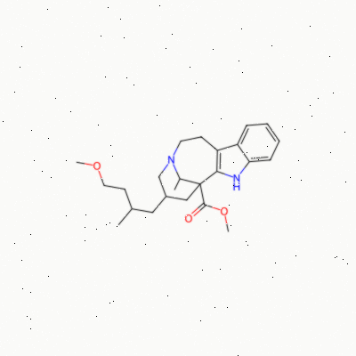 COCCC(C)CC1CN2CCc3c([nH]c4ccccc34)C(C(=O)OC)(C1)C2C